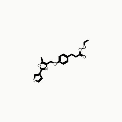 CCOOC(=O)CCc1ccc(OCc2nc(-c3ccsc3)oc2C)cc1